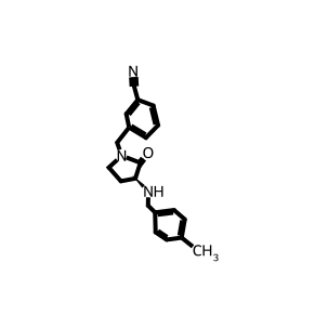 Cc1ccc(CN[C@H]2CCN(Cc3cccc(C#N)c3)C2=O)cc1